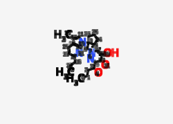 CCCC(=O)c1nn(CC2(n3cc(C)c4ccc(CCC)nc43)CCCC2)cc(O)c1=O